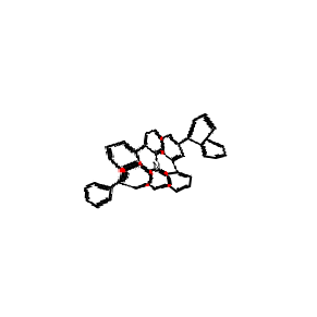 c1ccc(-c2ccc(N(c3ccccc3-c3cccc(-c4cccc5ccccc45)c3)c3ccccc3-c3ccccc3-c3ccccc3)cc2)cc1